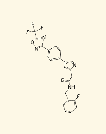 O=C(Cc1cn(-c2ccc(-c3noc(C(F)(F)F)n3)cc2)cn1)NCc1ccccc1F